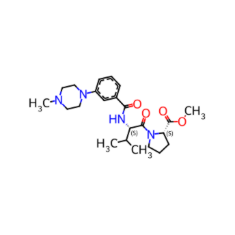 COC(=O)[C@@H]1CCCN1C(=O)[C@@H](NC(=O)c1cccc(N2CCN(C)CC2)c1)C(C)C